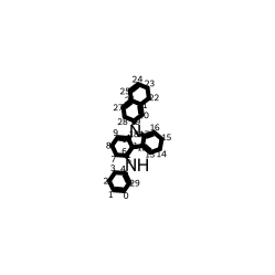 C1=CCCC(NC2CCC=C3C2C2=CCCC=C2N3C2C=C3CCC=CC3=CC2)=C1